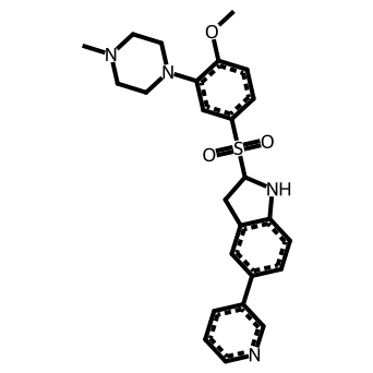 COc1ccc(S(=O)(=O)C2Cc3cc(-c4cccnc4)ccc3N2)cc1N1CCN(C)CC1